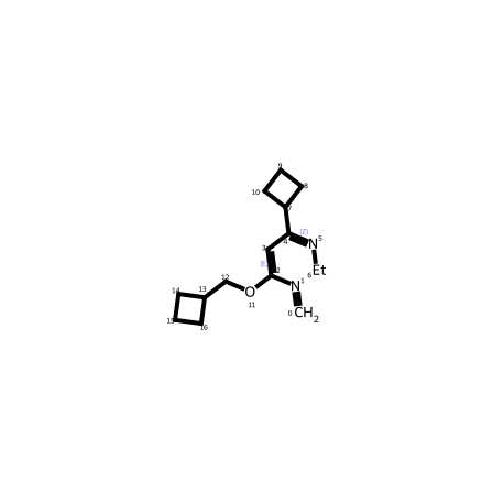 C=N/C(=C\C(=N/CC)C1CCC1)OCC1CCC1